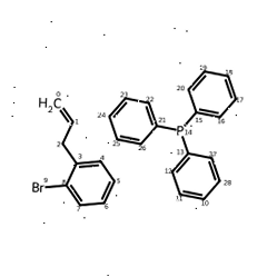 C=CCc1ccccc1Br.c1ccc(P(c2ccccc2)c2ccccc2)cc1